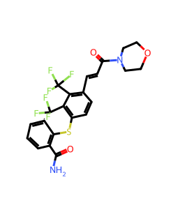 NC(=O)c1ccc[c]c1Sc1ccc(C=CC(=O)N2CCOCC2)c(C(F)(F)F)c1C(F)(F)F